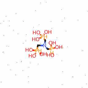 O[PH](O)(O)CN(C[PH](O)(O)O)C[PH](O)(O)O